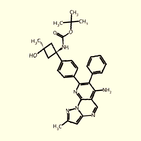 Cc1cc2ncc3c(N)c(-c4ccccc4)c(-c4ccc([C@]5(NC(=O)OC(C)(C)C)C[C@@](C)(O)C5)cc4)nc3n2n1